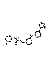 CCc1cccc(NC(=O)C=Cc2cccc(Oc3ccnc(-c4nnn[nH]4)c3)c2)c1